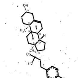 CCC(O)(CCc1ccc(F)cc1)[C@H]1CC[C@H]2[C@@H]3CC=C4C[C@@H](O)CC[C@]4(C)[C@H]3CC[C@]12C